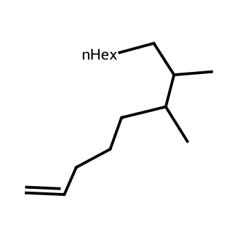 C=CCCCC(C)C(C)CCCCCCC